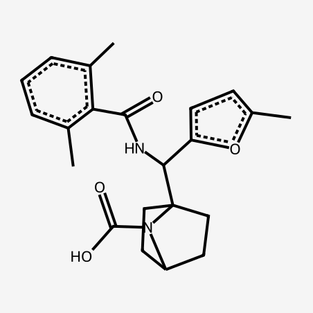 Cc1ccc(C(NC(=O)c2c(C)cccc2C)C23CCC(CC2)N3C(=O)O)o1